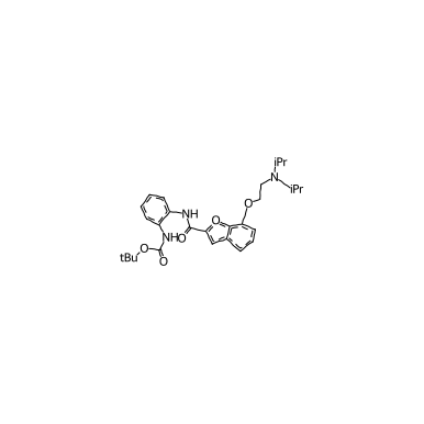 CC(C)N(CCOc1cccc2cc(C(=O)Nc3ccccc3NC(=O)OC(C)(C)C)oc12)C(C)C